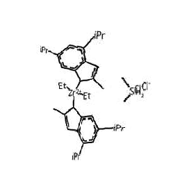 C[CH2][Zr+2]([CH2]C)([CH]1C(C)=Cc2c(C(C)C)cc(C(C)C)cc21)[CH]1C(C)=Cc2c(C(C)C)cc(C(C)C)cc21.C[SiH2]C.[Cl-].[Cl-]